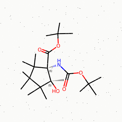 CC(C)(C)OC(=O)N[C@@]1(C(=O)OC(C)(C)C)C(C)(C)C(C)(C)C(C)(C)[C@]1(C)O